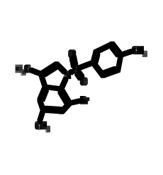 Cc1ccc(S(=O)(=O)n2cc(C)c3cc(C)cc(Br)c32)cc1